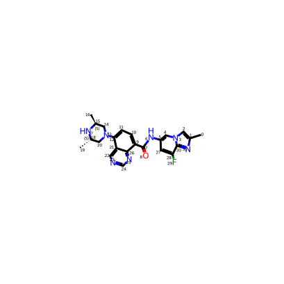 Cc1cn2cc(NC(=O)c3ccc(N4C[C@H](C)N[C@@H](C)C4)c4cncnc34)cc(F)c2n1